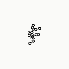 c1ccc(-c2cccc(-c3nc(-c4ccc5ccccc5c4)nc(-c4cccc5oc6cc(-n7c8ccc(-c9ccccc9)cc8c8c9ccccc9ccc87)ccc6c45)n3)c2)cc1